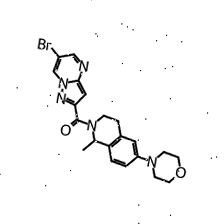 CC1c2ccc(N3CCOCC3)cc2CCN1C(=O)c1cc2ncc(Br)cn2n1